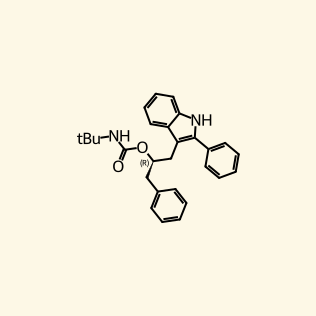 CC(C)(C)NC(=O)O[C@H](Cc1ccccc1)Cc1c(-c2ccccc2)[nH]c2ccccc12